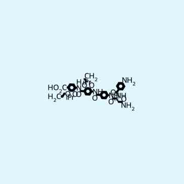 C=CCOc1c(C(=O)O)ccc(NC(=O)c2ccc(NC(=O)c3ccc(NC(=O)[C@H](CC(N)=O)NC(=O)c4ccc(N)cc4)cc3)c(OC(C)C)c2OCC=C)c1OC(C)C